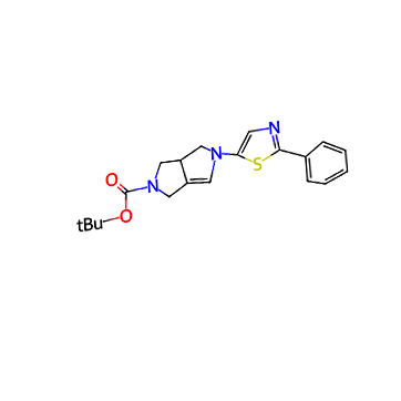 CC(C)(C)OC(=O)N1CC2=CN(c3cnc(-c4ccccc4)s3)CC2C1